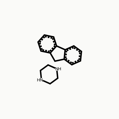 C1CNCCN1.c1ccc2c(c1)Cc1ccccc1-2